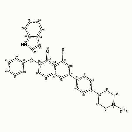 CN1CCC(c2ccc(-c3cc(F)c4c(=O)n(C(c5ccccc5)c5nc6ccccc6[nH]5)ccc4c3)cc2)CC1